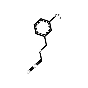 O=C=CSCc1cccc(C(F)(F)F)c1